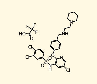 O=C(O)C(F)(F)F.O=S(=O)(Nc1cc(Cl)cnc1Oc1ccc(CNCCN2CCCCC2)cc1)c1ccc(Cl)c(Cl)c1